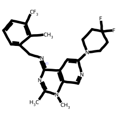 Cc1c(C/N=c2\nc(C)n(C)c3cnc(N4CCC(F)(F)CC4)cc23)cccc1C(F)(F)F